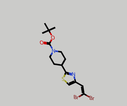 CC(C)(C)OC(=O)N1CCC(c2nc(C=C(Br)Br)cs2)CC1